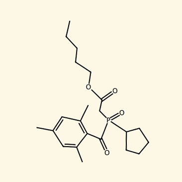 CCCCCOC(=O)CP(=O)(C(=O)c1c(C)cc(C)cc1C)C1CCCC1